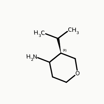 CC(C)[C@H]1COCCC1N